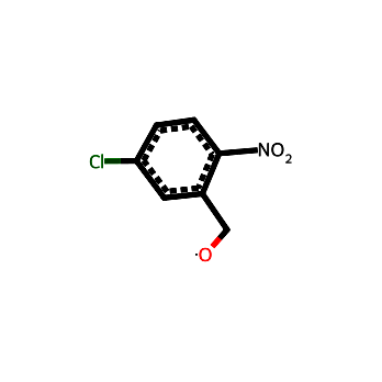 [O]Cc1cc(Cl)ccc1[N+](=O)[O-]